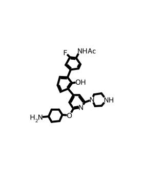 CC(=O)Nc1ccc(-c2cccc(-c3cc(OC4CCC(N)CC4)nc(N4CCNCC4)c3)c2O)cc1F